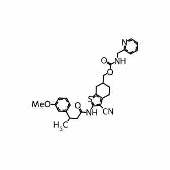 COc1cccc(C(C)CC(=O)Nc2sc3c(c2C#N)CCC(COC(=O)NCc2ccccn2)C3)c1